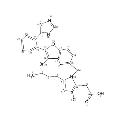 CCCCc1nc(Cl)c(CC(=O)O)n1Cc1ccc2oc(-c3ccccc3-c3nnn[nH]3)c(Br)c2c1